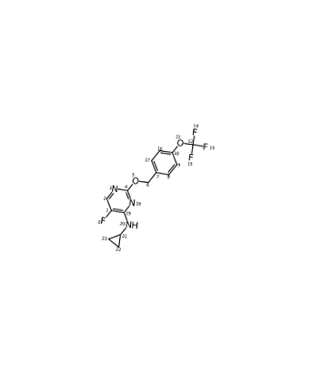 Fc1cnc(OCc2ccc(OC(F)(F)F)cc2)nc1NC1CC1